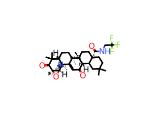 CC1(C)CC[C@]2(C(=O)NCC(F)(F)F)CC[C@]3(C)[C@@H](C(=O)C=C4[C@@]5(C)[C@H]6O[C@@]6(C#N)C(=O)C(C)(C)[C@@H]5CC[C@]43C)C2C1